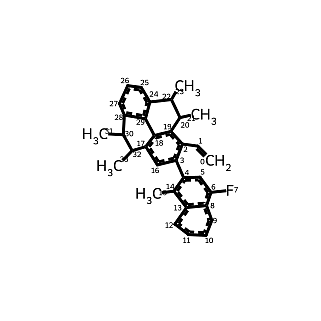 C=Cc1c(-c2cc(F)c3ccccc3c2C)cc2c3c1C(C)C(C)c1cccc(c1-3)C(C)C2C